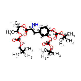 CC(OC(=O)OCC(C)(C)C)[C@H](C)OC(=O)[C@@H](N)Cc1ccc(OC(=O)OC(C)(C)C)c(OC(=O)OC(C)(C)C)c1